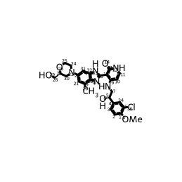 COc1ccc([C@@H](O)CNc2cc[nH]c(=O)c2-c2nc3c(C)cc(N4CCO[C@H](CO)C4)cc3[nH]2)cc1Cl